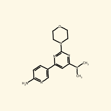 CN(C)c1cc(-c2ccc(N)nc2)nc(N2CCOCC2)n1